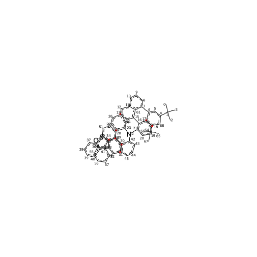 CC(C)(C)c1cc(-c2cccc3cccc(-c4ccccc4N(c4ccccc4-c4cccc5c4sc4ccccc45)c4ccccc4-c4cccc5oc6ccccc6c45)c23)cc(C(C)(C)C)c1